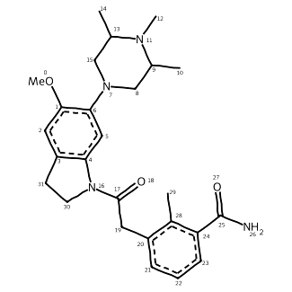 COc1cc2c(cc1N1CC(C)N(C)C(C)C1)N(C(=O)Cc1cccc(C(N)=O)c1C)CC2